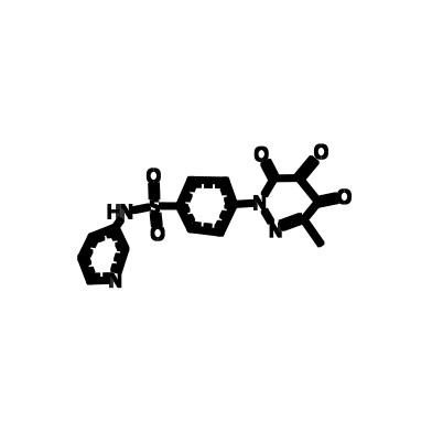 CC1=NN(c2ccc(S(=O)(=O)Nc3cccnc3)cc2)C(=O)C(=O)C1=O